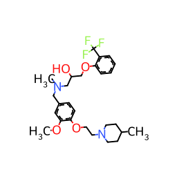 COc1cc(CN(C)CC(O)COc2ccccc2C(F)(F)F)ccc1OCCN1CCC(C)CC1